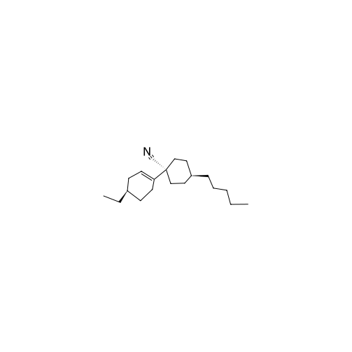 CCCCC[C@H]1CC[C@@](C#N)(C2=CC[C@H](CC)CC2)CC1